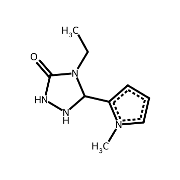 CCN1C(=O)NNC1c1cccn1C